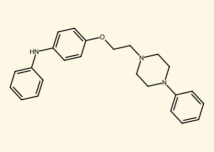 c1ccc(Nc2ccc(OCCN3CCN(c4ccccc4)CC3)cc2)cc1